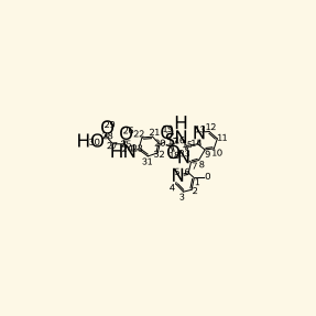 Cc1cccnc1-c1cc2cccnc2c(NS(=O)(=O)c2ccc(NC(=O)CC(=O)O)cc2)n1